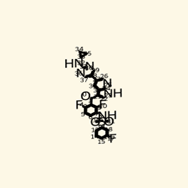 O=C(c1c(F)ccc(NS(=O)(=O)c2cccc(F)c2)c1F)c1c[nH]c2ncc(-c3cnc(NC4CC4)nc3)cc12